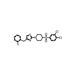 Cc1ccccc1Cc1csc(N2CCC(S(=O)(=O)c3ccc(Cl)c(Cl)c3)CC2)n1